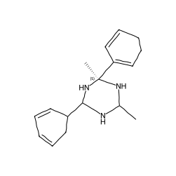 CC1NC(C2C=CC=CC2)N[C@@](C)(C2=CCCC=C2)N1